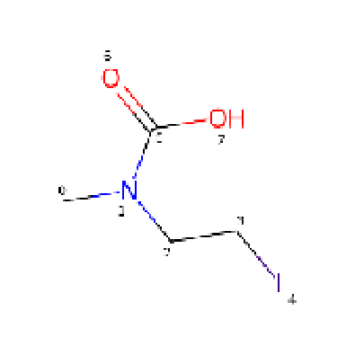 CN(CCI)C(=O)O